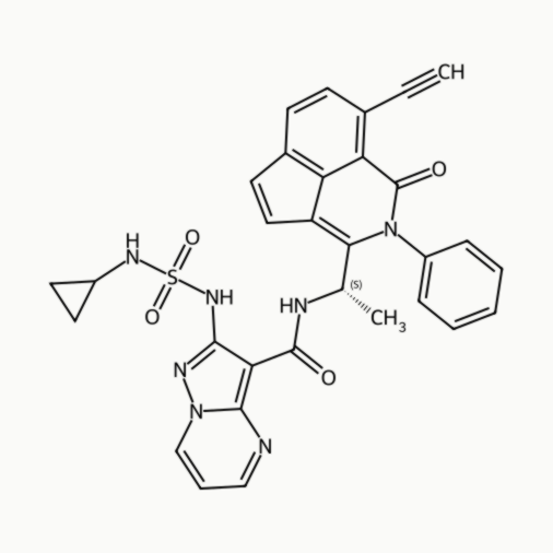 C#Cc1ccc2c3c(c([C@H](C)NC(=O)c4c(NS(=O)(=O)NC5CC5)nn5cccnc45)n(-c4ccccc4)c(=O)c13)C=C2